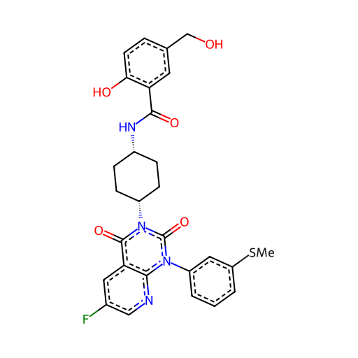 CSc1cccc(-n2c(=O)n([C@H]3CC[C@@H](NC(=O)c4cc(CO)ccc4O)CC3)c(=O)c3cc(F)cnc32)c1